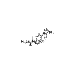 N=C(N)NN=C1C=CC(=NNC(N)=S)C=C1.O=[N+]([O-])O